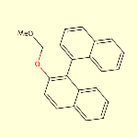 COCOc1ccc2ccccc2c1-c1cccc2ccccc12